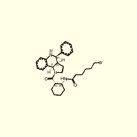 O=C(CCCCCBr)N[C@@H]1CCCC[C@@H]1C(=O)N1CC[C@@H]2[C@H](c3ccccc3)Nc3ccccc3[C@@H]21